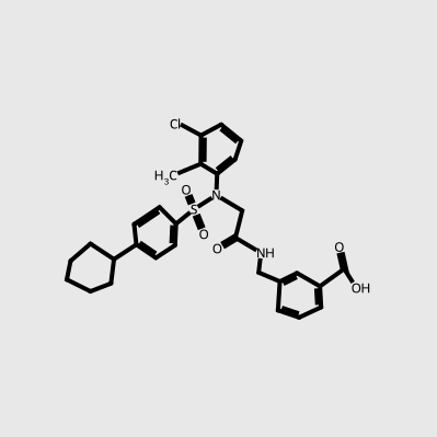 Cc1c(Cl)cccc1N(CC(=O)NCc1cccc(C(=O)O)c1)S(=O)(=O)c1ccc(C2CCCCC2)cc1